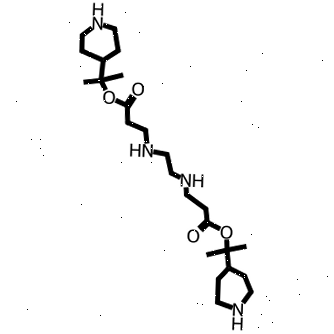 CC(C)(OC(=O)CCNCCNCCC(=O)OC(C)(C)C1CCNCC1)C1CCNCC1